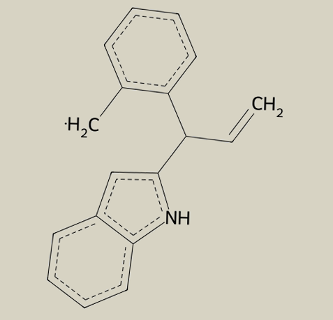 [CH2]c1ccccc1C(C=C)c1cc2ccccc2[nH]1